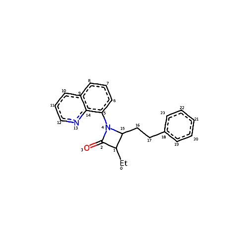 CCC1C(=O)N(c2cccc3cccnc23)C1CCc1ccccc1